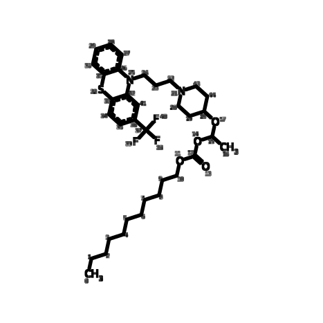 CCCCCCCCCCCOC(=O)OC(C)OC1CCN(CCCN2c3ccccc3Sc3ccc(C(F)(F)F)cc32)CC1